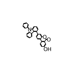 O=c1oc2cc(-c3cccc4c3c3ccccc3n4-c3ccccc3)ccc2c2ccc(O)cc12